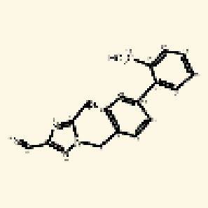 CCC(C)c1nc(C=S)nn1Cc1ccc(-c2ccccc2C(=O)O)cc1